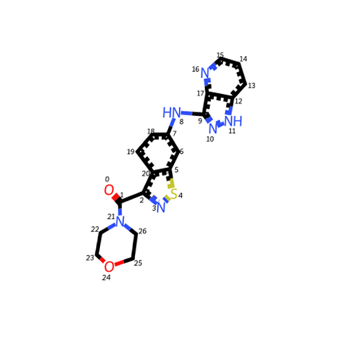 O=C(c1nsc2cc(Nc3n[nH]c4cccnc34)ccc12)N1CCOCC1